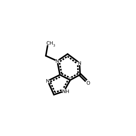 CCn1cnc(=O)c2[nH]cnc21